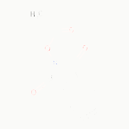 CC(=O)ON1C(=O)C2=C(C1=O)C1C=CC2C1